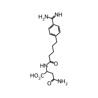 N=C(N)c1ccc(CCCCC(=O)NC(CC(N)=O)C(=O)O)cc1